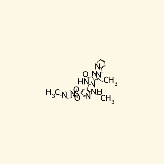 CCCNc1ncc(S(=O)(=O)N2CCN(CC)CC2)cc1-c1nc2c(CC)n(Cc3ccccn3)nc2c(=O)[nH]1